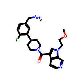 COCCn1cc(C(=O)N2CCC(c3cc(CN)ccc3F)CC2)c2ccncc21